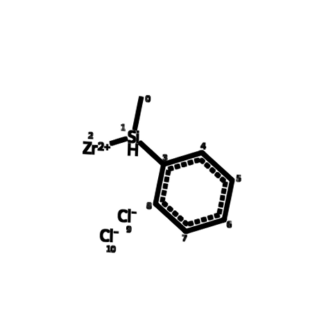 C[SiH]([Zr+2])c1ccccc1.[Cl-].[Cl-]